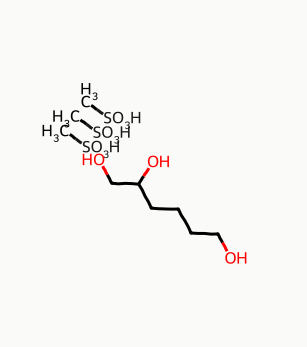 CS(=O)(=O)O.CS(=O)(=O)O.CS(=O)(=O)O.OCCCCC(O)CO